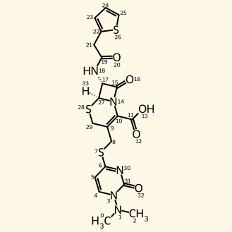 CN(C)n1ccc(SCC2=C(C(=O)O)N3C(=O)[C@@H](NC(=O)Cc4cccs4)[C@@H]3SC2)nc1=O